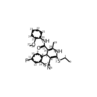 CCSC1=C(C#N)C(c2ccc(F)cc2F)C(C(=O)Nc2ccccc2OC)=C(C)N1